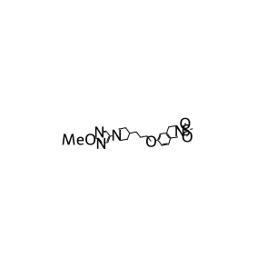 COc1ncc(N2CCC(CCCOc3ccc4c(c3)CCN(S(C)(=O)=O)C4)CC2)cn1